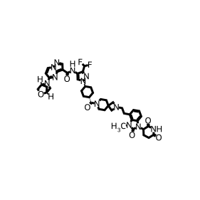 Cn1c(=O)n(C2CCC(=O)NC2=O)c2cccc(CCN3CC4(CCN(C(=O)[C@H]5CC[C@H](n6cc(NC(=O)c7cnn8ccc(N9C[C@H]%10C[C@@H]9CO%10)nc78)c(C(F)F)n6)CC5)CC4)C3)c21